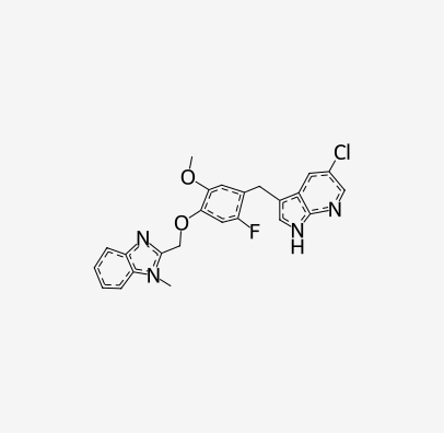 COc1cc(Cc2c[nH]c3ncc(Cl)cc23)c(F)cc1OCc1nc2ccccc2n1C